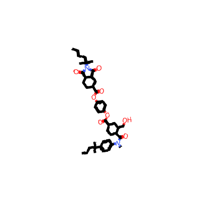 CCCCC(C)(C)N1C(=O)C2CCC(C(=O)Oc3ccc(OC(=O)C4CCC(C(=O)N(C)c5ccc(C(C)(C)CCC)cc5)C(CO)C4)cc3)CC2C1=O